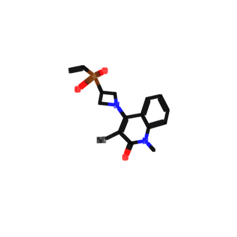 C=CS(=O)(=O)C1CN(c2c(C#N)c(=O)n(C)c3ccccc23)C1